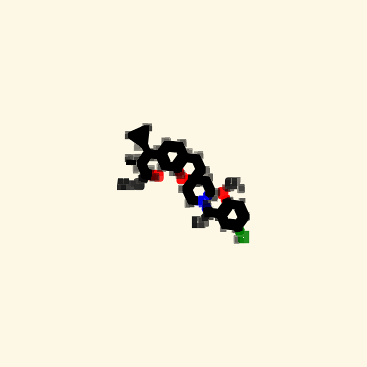 CC[C@H](c1cc(Cl)ccc1OC(F)(F)F)N1CCC2(CCc3ccc([C@H](C4CC4)[C@@H](C)C(=O)OC)cc3O2)CC1